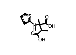 CC(C(=O)O)C(C)(Nc1cccs1)C(=O)O